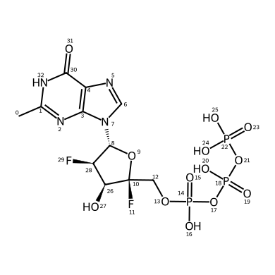 Cc1nc2c(ncn2[C@@H]2O[C@](F)(COP(=O)(O)OP(=O)(O)OP(=O)(O)O)[C@@H](O)[C@H]2F)c(=O)[nH]1